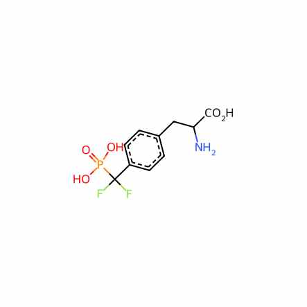 NC(Cc1ccc(C(F)(F)P(=O)(O)O)cc1)C(=O)O